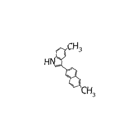 Cc1ccc2cc(-c3c[nH]c4ccc(C)cc34)ccc2c1